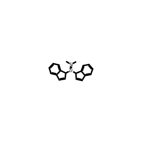 C[Si](C)=[Zr]([CH]1C=Cc2ccccc21)[CH]1C=Cc2ccccc21